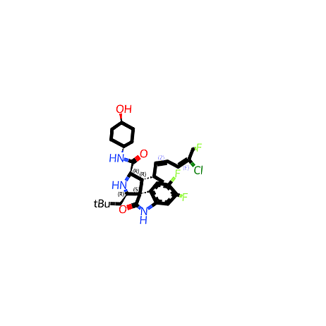 CC(/C=C\C=C(\Cl)CF)[C@H]1[C@H](C(=O)N[C@H]2CC[C@H](O)CC2)N[C@H](CC(C)(C)C)[C@]12C(=O)Nc1cc(F)c(F)cc12